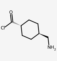 NC[C@H]1CC[C@H](C(=O)Cl)CC1